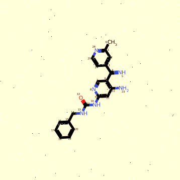 Cc1cc(C(=N)c2cnc(NC(=O)NCc3ccccc3)cc2N)ccn1